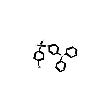 N#Cc1ccc(S(=O)(=O)[O-])cc1.c1ccc([S+](c2ccccc2)c2ccccc2)cc1